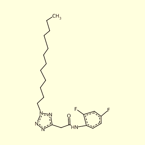 CCCCCCCCCCCCn1nnc(CC(=O)Nc2ccc(F)cc2F)n1